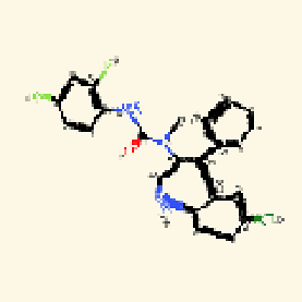 CN(C(=O)Nc1ccc(F)cc1F)c1cnc2ccc(Cl)cc2c1-c1ccccc1